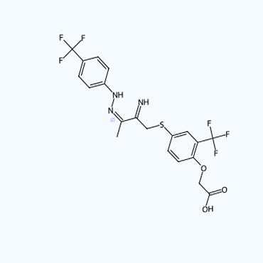 C/C(=N/Nc1ccc(C(F)(F)F)cc1)C(=N)CSc1ccc(OCC(=O)O)c(C(F)(F)F)c1